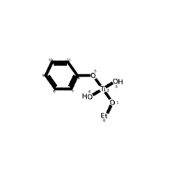 CC[O][Ti]([OH])([OH])[O]c1ccccc1